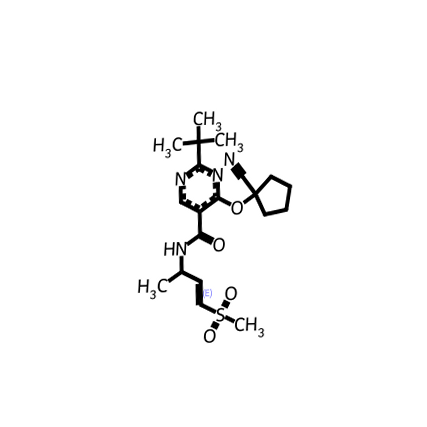 CC(/C=C/S(C)(=O)=O)NC(=O)c1cnc(C(C)(C)C)nc1OC1(C#N)CCCC1